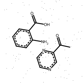 CC(=O)c1cnccn1.Nc1ccccc1C(=O)O